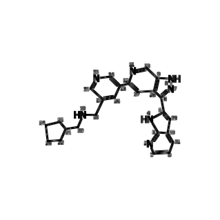 c1cnc2[nH]c(-c3n[nH]c4cnc(-c5cncc(CNCC6CCCC6)c5)cc34)cc2c1